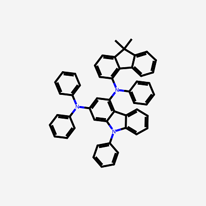 CC1(C)c2ccccc2-c2c(N(c3ccccc3)c3cc(N(c4ccccc4)c4ccccc4)cc4c3c3ccccc3n4-c3ccccc3)cccc21